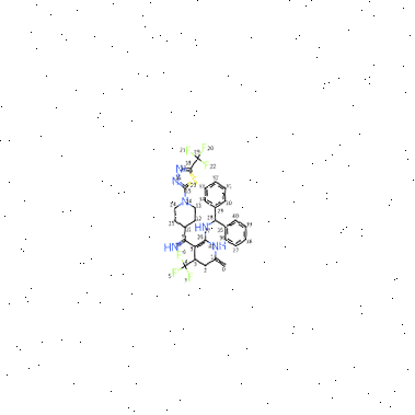 C=C1CC(C(F)(F)F)C(C(=N)C2CCN(c3nnc(C(F)(F)F)s3)CC2)=C(NC(c2ccccc2)c2ccccc2)N1